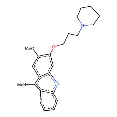 CNc1c2ccccc2nc2cc(OCCCN3CCCCC3)c(OC)cc12